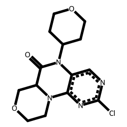 O=C1C2COCCN2c2nc(Cl)ncc2N1C1CCOCC1